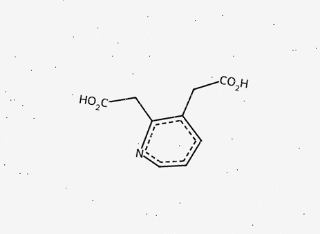 O=C(O)Cc1cccnc1CC(=O)O